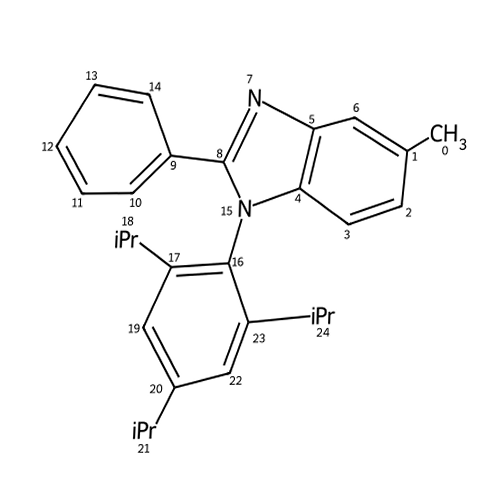 Cc1ccc2c(c1)nc(-c1ccccc1)n2-c1c(C(C)C)cc(C(C)C)cc1C(C)C